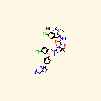 CC(NCc1ccc(Cl)cc1Oc1ccc(-c2cnc(CN(C)C)n2C)cc1)C(=O)N1C(C(=O)NC2(Cc3ccc(Cl)cc3)CCCN(C(=O)O)C2)COC1(C)C